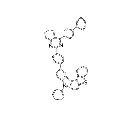 C1=CC(n2c3ccc(-c4ccc(-c5nc(-c6ccc(-c7ccccc7)cc6)c6c(n5)=CCCC=6)cc4)cc3c3c4c(ccc32)sc2ccccc24)=CCC1